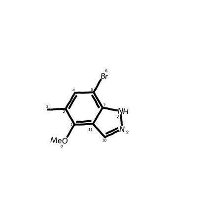 COc1c(C)cc(Br)c2[nH]ncc12